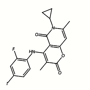 Cc1c(Nc2ccc(I)cc2F)c2c(=O)n(C3CC3)c(C)cc2oc1=O